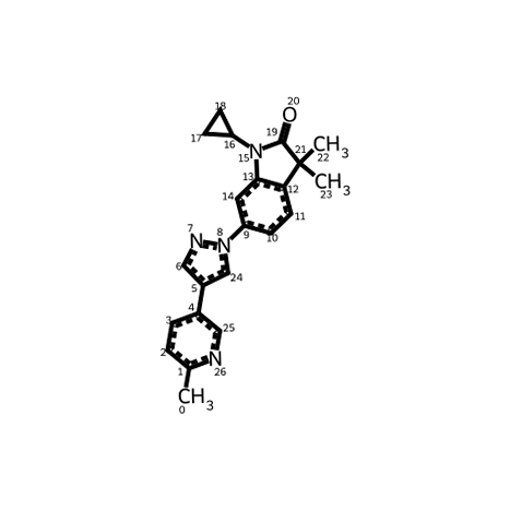 Cc1ccc(-c2cnn(-c3ccc4c(c3)N(C3CC3)C(=O)C4(C)C)c2)cn1